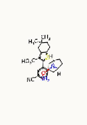 CC1(C)CCc2sc(-c3cc(C#N)ccc3N3[C@@H]4CC[C@H]3C[C@@H](ON)C4)c(C(=O)O)c2C1